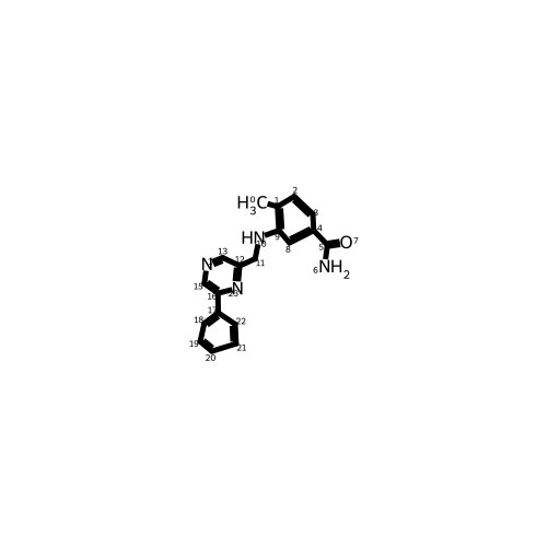 Cc1ccc(C(N)=O)cc1NCc1cncc(-c2ccccc2)n1